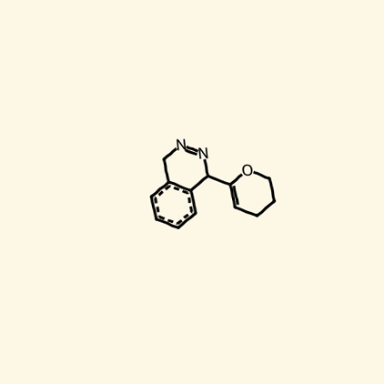 C1=C(C2N=NCc3ccccc32)OCCC1